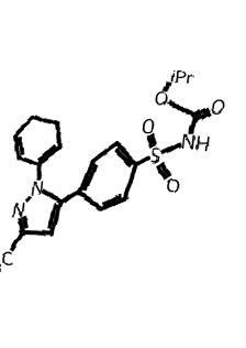 CC(C)OC(=O)NS(=O)(=O)c1ccc(-c2cc(C(F)(F)F)nn2C2=CCCC=C2)cc1